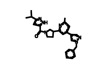 Cc1cc(-c2cnn(Cc3ccccc3)c2)cc(C2CCN(C(=O)c3cc(C(C)C)n[nH]3)C2)n1